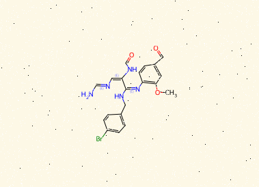 COc1cc(C=O)ccc1\N=C(NCc1ccc(Br)cc1)/C(=C\N=C\N)NC=O